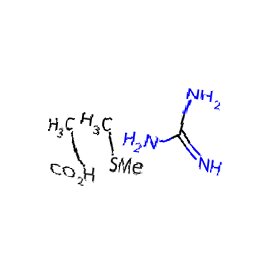 CC(=O)O.CSC.N=C(N)N